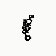 C[C@]12CC[C@@H](O)C[C@H]1CC[C@@H]1[C@@H]2CC[C@]2(C)C(c3cccnc3)=CC[C@@H]12